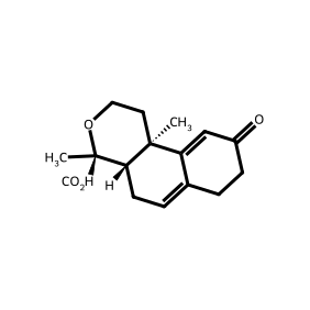 C[C@@]12CCO[C@](C)(C(=O)O)[C@H]1CC=C1CCC(=O)C=C12